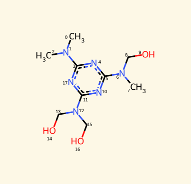 CN(C)c1nc(N(C)CO)nc(N(CO)CO)n1